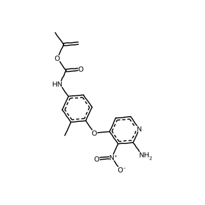 C=C(C)OC(=O)Nc1ccc(Oc2ccnc(N)c2[N+](=O)[O-])c(C)c1